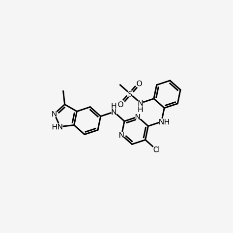 Cc1n[nH]c2ccc(Nc3ncc(Cl)c(Nc4ccccc4NS(C)(=O)=O)n3)cc12